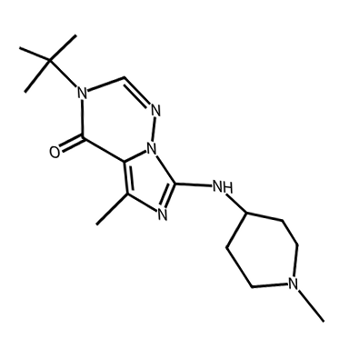 Cc1nc(NC2CCN(C)CC2)n2ncn(C(C)(C)C)c(=O)c12